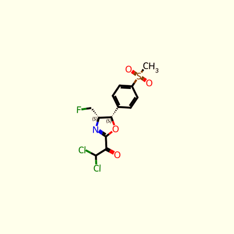 CS(=O)(=O)c1ccc([C@@H]2OC(C(=O)C(Cl)Cl)=N[C@@H]2CF)cc1